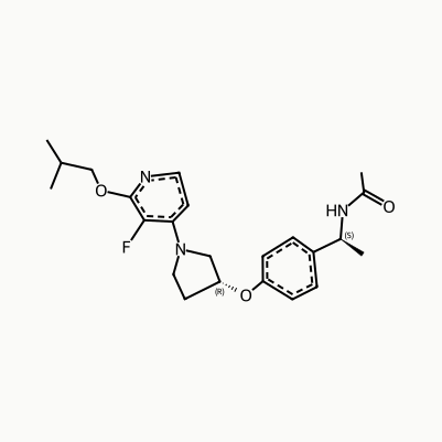 CC(=O)N[C@@H](C)c1ccc(O[C@@H]2CCN(c3ccnc(OCC(C)C)c3F)C2)cc1